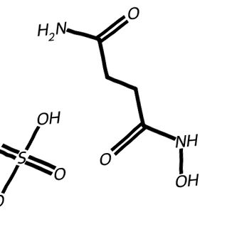 NC(=O)CCC(=O)NO.O=S(=O)(O)O